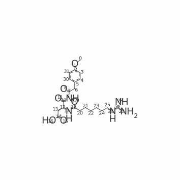 COc1ccc(CC(=O)NC(=O)[C@H](CC(=O)O)NC(=O)CCCCCCNC(=N)N)cc1